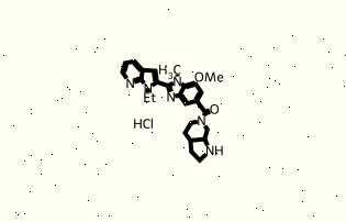 CCn1c(-c2nc3cc(C(=O)N4CCC5CCNC5C4)cc(OC)c3n2C)cc2cccnc21.Cl